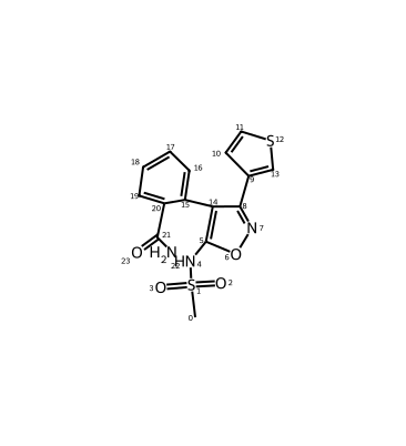 CS(=O)(=O)Nc1onc(-c2ccsc2)c1-c1ccccc1C(N)=O